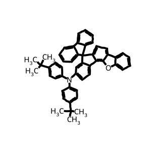 CC(C)(C)c1ccc(N(c2ccc(C(C)(C)C)cc2)c2ccc3c(c2)C2(c4ccccc4-c4ccccc42)c2ccc4c(oc5ccccc54)c2-3)cc1